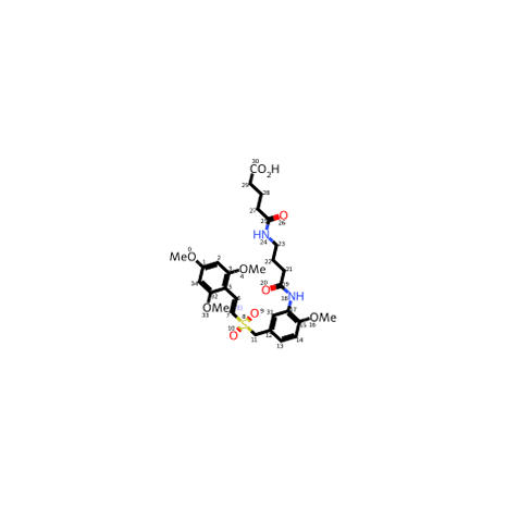 COc1cc(OC)c(/C=C/S(=O)(=O)Cc2ccc(OC)c(NC(=O)CCCNC(=O)CCCC(=O)O)c2)c(OC)c1